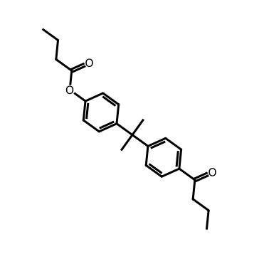 CCCC(=O)Oc1ccc(C(C)(C)c2ccc(C(=O)CCC)cc2)cc1